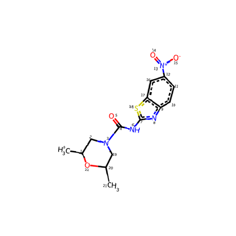 CC1CN(C(=O)Nc2nc3ccc([N+](=O)[O-])cc3s2)CC(C)O1